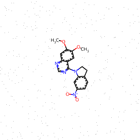 COc1cc2ncnc(N3CCc4ccc([N+](=O)[O-])cc43)c2cc1OC